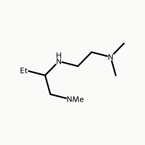 CCC(CNC)NCCN(C)C